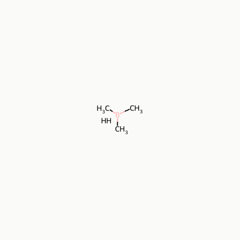 CB(C)C.[HH]